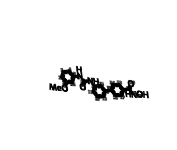 COc1cccc(NC(=O)Nc2cccc(-c3ccc(C(=O)NO)cc3)c2)c1